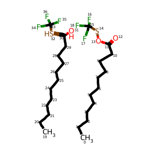 CCCCCCCCCCCC(=O)OSC(F)(F)F.CCCCCCCCCCCC(O)=[SH]C(F)(F)F